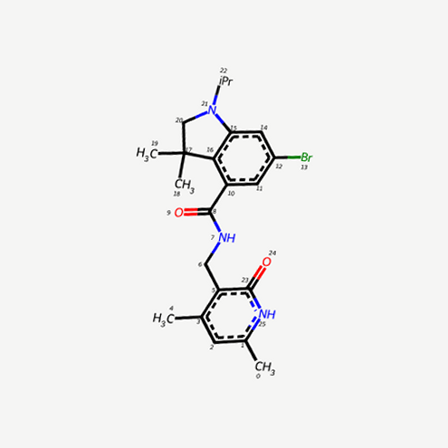 Cc1cc(C)c(CNC(=O)c2cc(Br)cc3c2C(C)(C)CN3C(C)C)c(=O)[nH]1